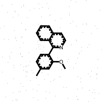 COc1cc(C)ccc1-c1nccc2ccc[c]c12